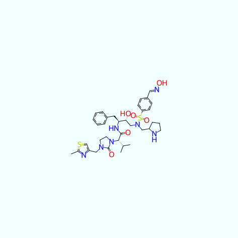 Cc1nc(CN2CCN([C@H](C(=O)N[C@@H](Cc3ccccc3)[C@H](O)CN(CC3CCCN3)S(=O)(=O)c3ccc(/C=N/O)cc3)C(C)C)C2=O)cs1